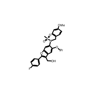 COc1ccc(CN(c2cc3oc(-c4ccc(F)cc4)c(CO)c3cc2OC(C)C)S(C)(=O)=O)cc1